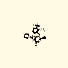 Cc1c(Cn2c(C3CC3)nc(=O)c3sc(N4CCOCC4)nc32)cccc1C(F)(F)F